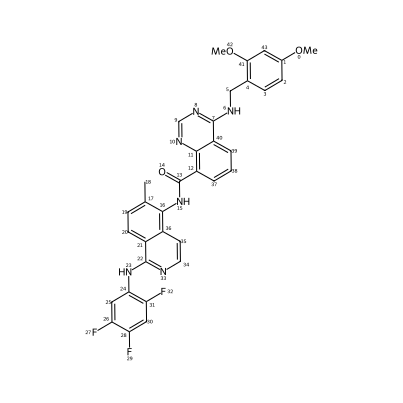 COc1ccc(CNc2ncnc3c(C(=O)Nc4c(C)ccc5c(Nc6cc(F)c(F)cc6F)nccc45)cccc23)c(OC)c1